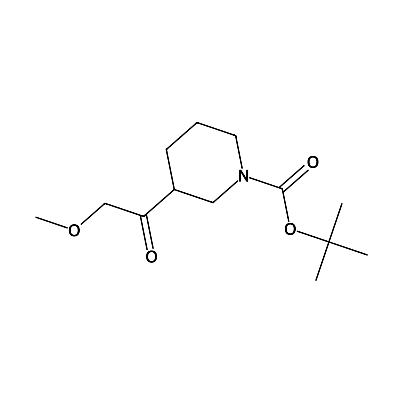 COCC(=O)C1CCCN(C(=O)OC(C)(C)C)C1